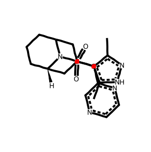 Cc1n[nH]c(C)c1S(=O)(=O)N1C2CCC[C@H]1CC(Oc1cnccn1)C2